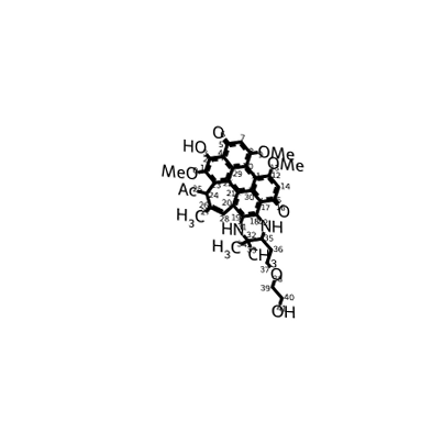 COc1c(O)c2c(=O)cc(OC)c3c4c(OC)cc(=O)c5c6c(c7c(c(c1C(C(C)=O)C(C)=C7)c23)c54)NC(C)(C)C(CCOCCO)N6